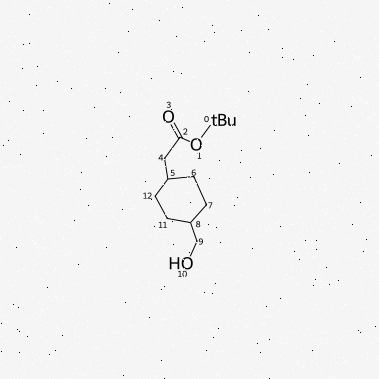 CC(C)(C)OC(=O)CC1CCC(CO)CC1